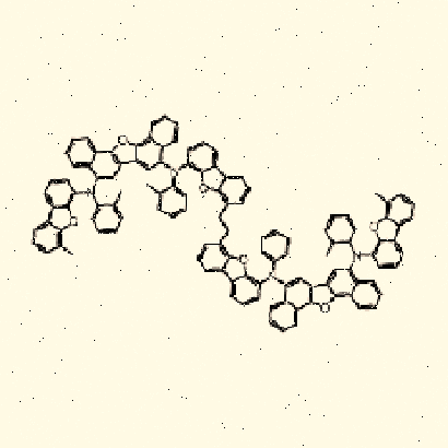 Cc1ccccc1N(c1cc2c3cc(N(c4ccccc4C)c4cccc5c4oc4c(CCc6cccc7c6oc6c(N(c8ccccc8)c8cc9c%10cc(N(c%11cccc%12c%11oc%11c(C)cccc%11%12)C%11C=CC=CC%11C)c%11ccccc%11c%10oc9c9ccccc89)cccc67)cccc45)c4ccccc4c3oc2c2ccccc12)c1cccc2c1oc1c(C)cccc12